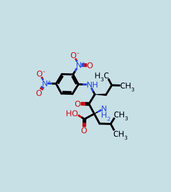 CC(C)C[C@H](Nc1ccc([N+](=O)[O-])cc1[N+](=O)[O-])C(=O)[C@](N)(CC(C)C)C(=O)O